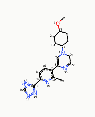 CO[C@H]1CC[C@@H](N2C=C(c3ccc(-c4nnc[nH]4)nc3C)N=CC2)CC1